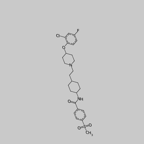 CS(=O)(=O)c1ccc(C(=O)NC2CCC(CCN3CCC(Oc4ccc(F)cc4Cl)CC3)CC2)cc1